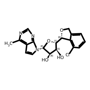 Cc1ncnc2c1ccn2[C@@H]1O[C@H]([C@@H]2OCc3cccc(Cl)c32)[C@@H](O)[C@H]1O